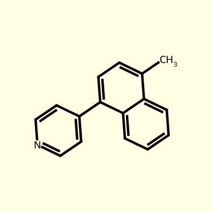 Cc1ccc(-c2ccncc2)c2ccccc12